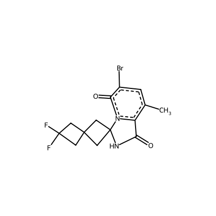 Cc1cc(Br)c(=O)n2c1C(=O)NC21CC2(CC(F)(F)C2)C1